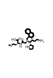 CSCC[C@H](NC(=O)CN(Cc1cccc2ccccc12)C(C(=O)CCN)[C@@H]1CCCN1)C(=O)O